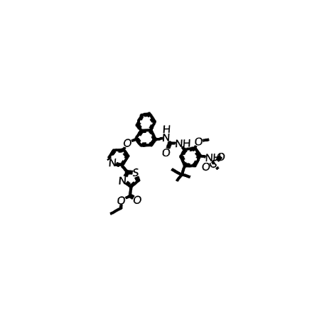 CCOC(=O)c1csc(-c2cc(Oc3ccc(NC(=O)Nc4cc(C(C)(C)C)cc(NS(C)(=O)=O)c4OC)c4ccccc34)ccn2)n1